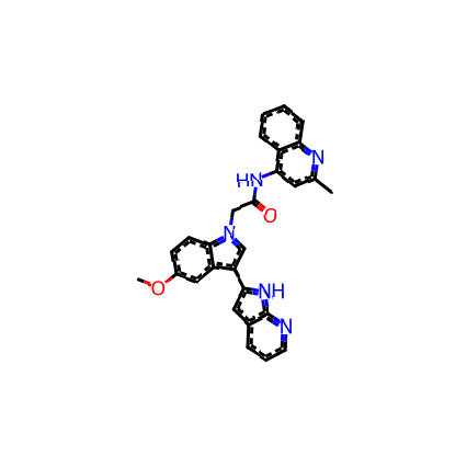 COc1ccc2c(c1)c(-c1cc3cccnc3[nH]1)cn2CC(=O)Nc1cc(C)nc2ccccc12